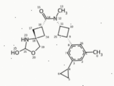 Cc1cc(C2CC2)cc([C@H]2C[C@@H](N(C)C(=O)[C@H]3C[C@]4(COC(O)N4)C3)C2)c1